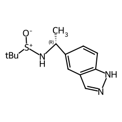 C[C@@H](N[S+]([O-])C(C)(C)C)c1ccc2[nH]ncc2c1